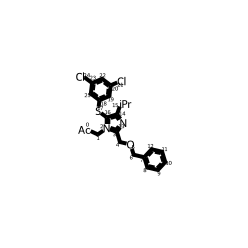 CC(=O)Cn1c(COCc2ccccc2)nc(C(C)C)c1Sc1cc(Cl)cc(Cl)c1